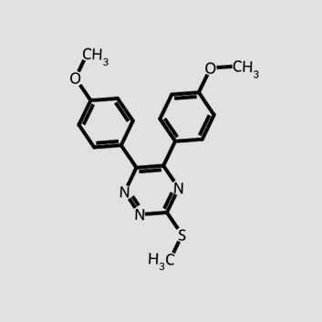 COc1ccc(-c2nnc(SC)nc2-c2ccc(OC)cc2)cc1